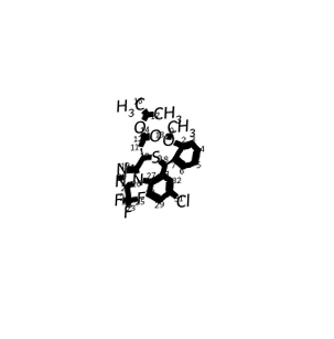 COc1ccccc1[C@@H]1S[C@@H](CC(=O)OC(C)C)c2nnc(C(F)(F)F)n2-c2ccc(Cl)cc21